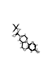 CC(C)(C)OC(=O)N1CCN2c3ncc(Br)cc3OCC2C1